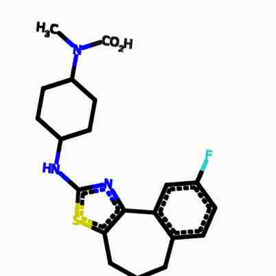 CN(C(=O)O)C1CCC(Nc2nc3c(s2)CCCc2ccc(F)cc2-3)CC1